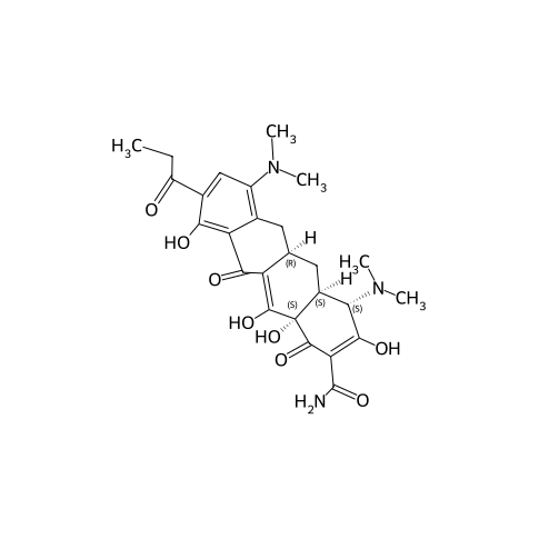 CCC(=O)c1cc(N(C)C)c2c(c1O)C(=O)C1=C(O)[C@]3(O)C(=O)C(C(N)=O)=C(O)[C@@H](N(C)C)[C@@H]3C[C@@H]1C2